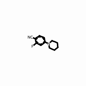 N#Cc1ccc(N2CCCCC2)cc1F